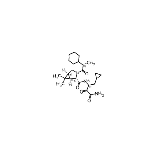 C[C@H](C(=O)N1C[C@H]2[C@@H]([C@H]1C(=O)N[C@@H](CC1CC1)C(=O)C(N)=O)C2(C)C)C1CCCCC1